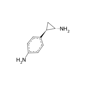 Nc1ccc([C@H]2C[C@@H]2N)cc1